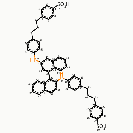 O=S(=O)(O)c1ccc(CCCc2ccc(Pc3cc(-c4c(Pc5ccc(CCCc6ccc(S(=O)(=O)O)cc6)cc5)ccc5ccccc45)c4ccccc4c3)cc2)cc1